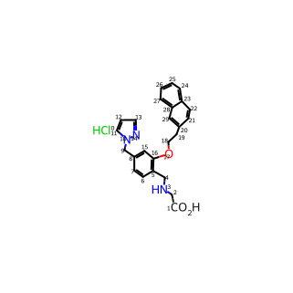 Cl.O=C(O)CNCc1ccc(Cn2cccn2)cc1OCCc1ccc2ccccc2c1